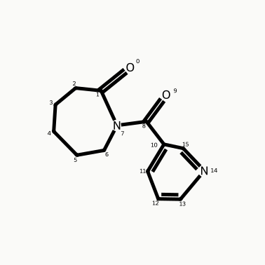 O=C1CCCCCN1C(=O)c1cccnc1